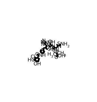 CC(C)(O/N=C(\C(=O)N[C@@H]1C(=O)N2C(c3nnn[nH]3)=C(C[n+]3ccc(NC(=O)c4ccc(O)c(O)c4Cl)cc3)CS[C@H]12)c1csc(N)n1)C(=O)O